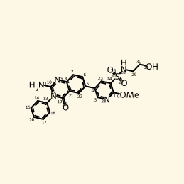 COc1ncc(-c2ccc3nc(N)n(-c4ccccc4)c(=O)c3c2)cc1S(=O)(=O)NCCO